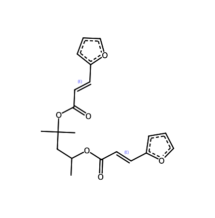 CC(CC(C)(C)OC(=O)/C=C/c1ccco1)OC(=O)/C=C/c1ccco1